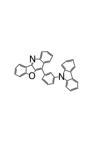 c1cc(-c2c3ccccc3nc3c2oc2ccccc23)cc(-n2c3ccccc3c3ccccc32)c1